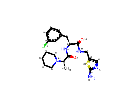 C[C@H](C(=O)N[C@@H](Cc1cccc(Cl)c1)C(=O)NCc1cnc(N)s1)N1CCCCC1